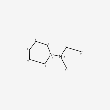 [CH2]CN(C)N1CCCCC1